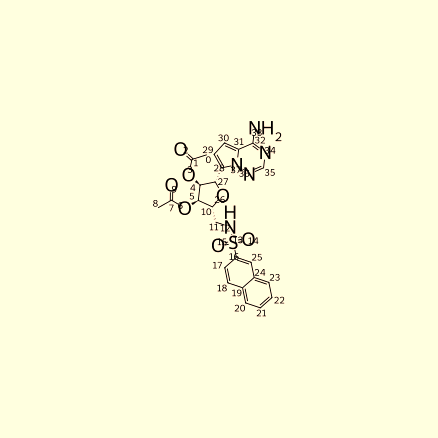 CC(=O)O[C@@H]1[C@H](OC(C)=O)[C@@H](CNS(=O)(=O)c2ccc3ccccc3c2)O[C@H]1c1ccc2c(N)ncnn12